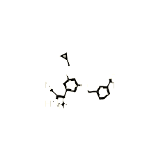 N#Cc1[nH]nnc1-c1cc(OCc2cccc(C(F)(F)F)c2)cc(OCC2CC2)c1